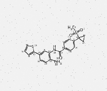 CS(=O)(=O)C1(c2ccc(C(=O)Nc3cc(-c4cccs4)ccc3N)cc2)CC1